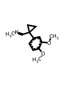 CN=CC1(c2ccc(OC)c(OC)c2)CC1